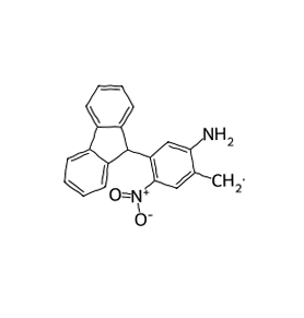 [CH2]c1cc([N+](=O)[O-])c(C2c3ccccc3-c3ccccc32)cc1N